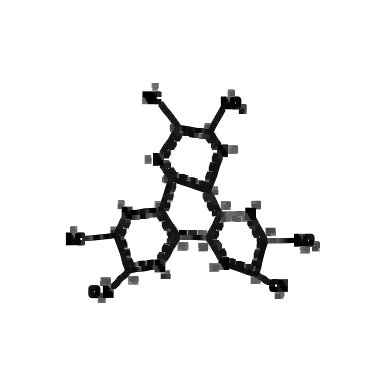 N#Cc1nc2c3nc(C#N)c([N+](=O)[O-])nc3c3nc([N+](=O)[O-])c(C#N)nc3c2nc1[N+](=O)[O-]